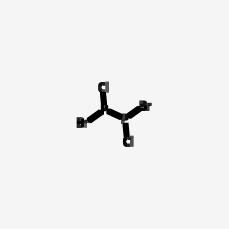 ClP(Br)P(Cl)Br